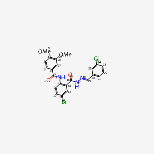 COc1ccc(C(=O)Nc2ccc(Br)cc2C(=O)NN=Cc2cccc(Cl)c2)cc1OC